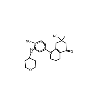 CC1(C#N)CC(=O)C2=C(C1)N(c1ccc(C#N)c(NC3CCOCC3)c1)CCC2